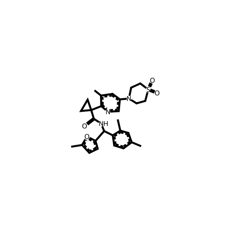 Cc1ccc(C(NC(=O)C2(c3ncc(N4CCS(=O)(=O)CC4)cc3C)CC2)c2ccc(C)o2)c(C)c1